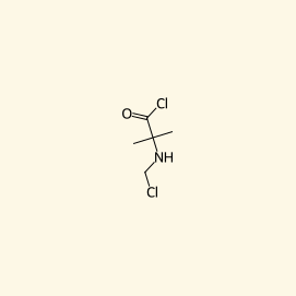 CC(C)(NCCl)C(=O)Cl